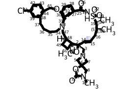 CO[C@@]1(CN2CC3(C2)CN(C)C(=O)O3)/C=C/C[C@H](C)[C@@H](C)S(=O)(=O)NC(=O)c2ccc3c(c2)N(CCCCc2cc(Cl)ccc2CO3)C[C@@H]2CC[C@H]21